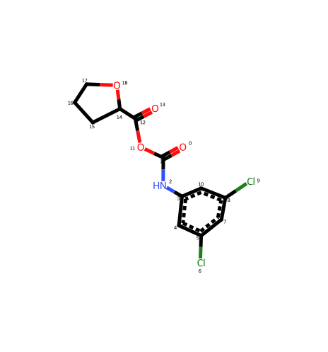 O=C(Nc1cc(Cl)cc(Cl)c1)OC(=O)C1CCCO1